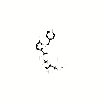 Cc1ccc(C(=O)Nc2nc(C(C)(C)OC(C)C)cs2)n1Cc1ccncc1